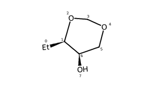 CC[C@H]1OCOC[C@H]1O